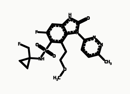 COCCc1c(S(=O)(=O)NC2(CF)CC2)c(F)cc2[nH]c(=O)n(-c3ccc(C)nn3)c12